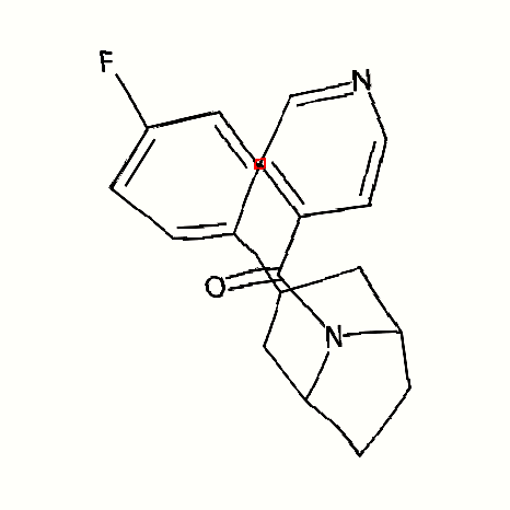 O=C(c1ccncc1)N1C2CCC1CC(c1ccc(F)cc1)C2